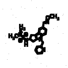 CON=Cc1ccc2c(c1)c1c(n2Cc2ccccn2)CC(NS(=O)(=O)N(C)C)C1